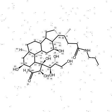 CCCNC(=O)CC[C@@H](C)[C@H]1CCC2C3CC[C@@H]4C[C@H](O)CC([C@](O)([C@H](O)[C@H](O)CO)[C@@H](O)C(N)=O)[C@]4(C)C3C[C@H](O)[C@@]21C